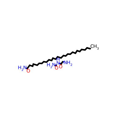 CCCCCCCCCCCCCCCCCCCCCCCCCCCC(N)=O.NCC(=O)NC(N)=O